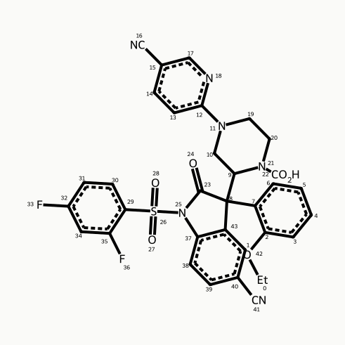 CCOc1ccccc1C1(C2CN(c3ccc(C#N)cn3)CCN2C(=O)O)C(=O)N(S(=O)(=O)c2ccc(F)cc2F)c2ccc(C#N)cc21